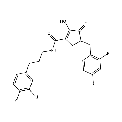 O=C(NCCCc1ccc(Cl)c(Cl)c1)C1=C(O)C(=O)N(Cc2ccc(F)cc2F)C1